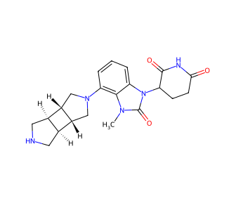 Cn1c(=O)n(C2CCC(=O)NC2=O)c2cccc(N3C[C@@H]4[C@H]5CNC[C@H]5[C@@H]4C3)c21